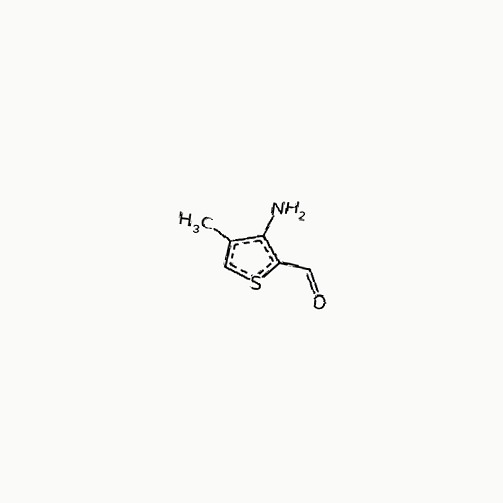 Cc1csc(C=O)c1N